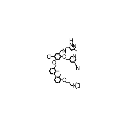 Cc1cc(CN(C)Cc2cc(Cl)c(OCc3cccc(-c4cccc(OCCCN5CCCC5)c4C)c3C)cc2OCc2cncc(C#N)c2)[nH]n1